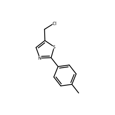 Cc1ccc(-c2ncc(CCl)s2)cc1